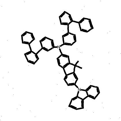 CC1(C)c2cc(N(c3cccc(-c4ccccc4-c4ccccc4)c3)c3cccc(-c4ccccc4-c4ccccc4)c3)ccc2-c2ccc(-n3c4ccccc4c4ccccc43)cc21